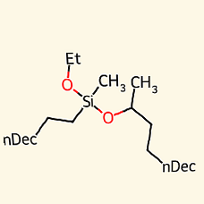 CCCCCCCCCCCCC(C)O[Si](C)(CCCCCCCCCCCC)OCC